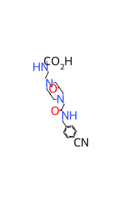 N#Cc1ccc(CNC(=O)CN2CC3CN(CCNC(=O)O)CC(C2)O3)cc1